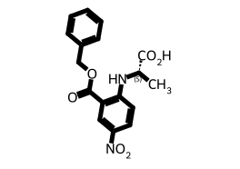 C[C@H](Nc1ccc([N+](=O)[O-])cc1C(=O)OCc1ccccc1)C(=O)O